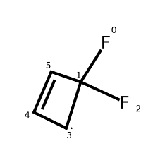 FC1(F)[CH]C=C1